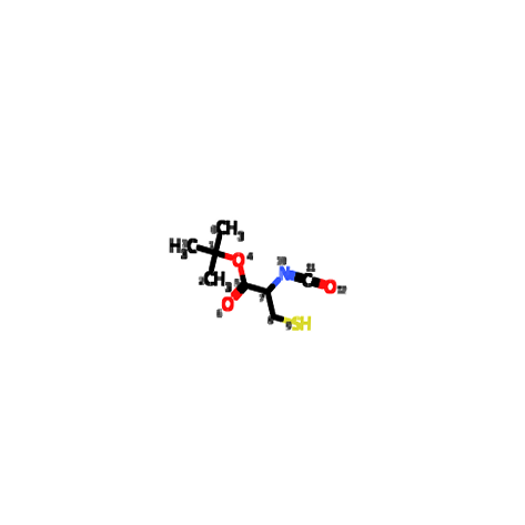 CC(C)(C)OC(=O)C(CS)N=C=O